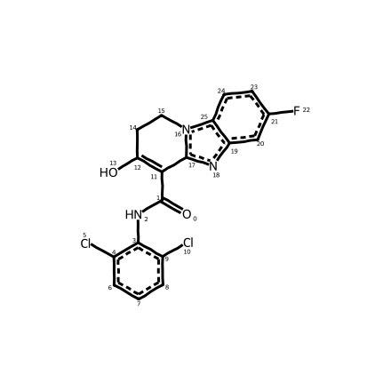 O=C(Nc1c(Cl)cccc1Cl)C1=C(O)CCn2c1nc1cc(F)ccc12